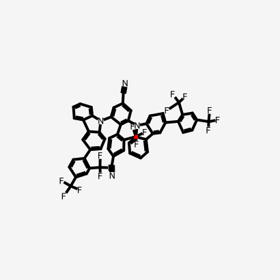 N#Cc1cc(-n2c3ccccc3c3cc(-c4ccc(C(F)(F)F)cc4C(F)(F)F)ccc32)c(-c2ccc(C#N)cc2C(F)(F)F)c(-n2c3ccccc3c3cc(-c4ccc(C(F)(F)F)cc4C(F)(F)F)ccc32)c1